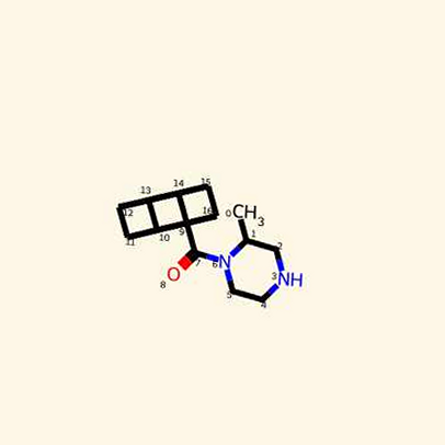 CC1CNCCN1C(=O)C12C3C4C5C3C1C5C42